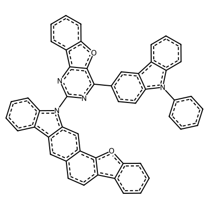 c1ccc(-n2c3ccccc3c3cc(-c4nc(-n5c6ccccc6c6cc7ccc8c9ccccc9oc8c7cc65)nc5c4oc4ccccc45)ccc32)cc1